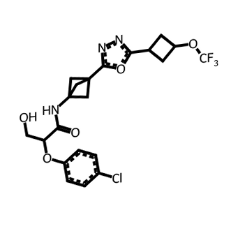 O=C(NC12CC(c3nnc(C4CC(OC(F)(F)F)C4)o3)(C1)C2)C(CO)Oc1ccc(Cl)cc1